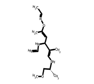 C/C=N/O/C(C)=C/C(NC=N)/C(C)=C/N[C@H](C)COC